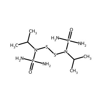 CC(C)N(SSN(C(C)C)P(N)(N)=O)P(N)(N)=O